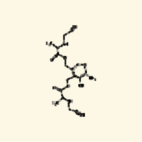 C#CCNC(C)C(=O)OCc1cnc(C)c(O)c1COC(=O)C(C)NCC#C